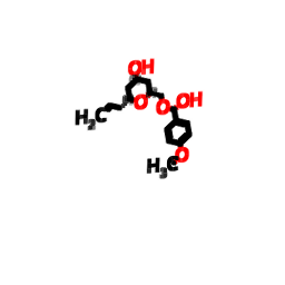 C=CC[C@@H]1C[C@@H](O)C[C@@H](COC(O)c2ccc(OC)cc2)O1